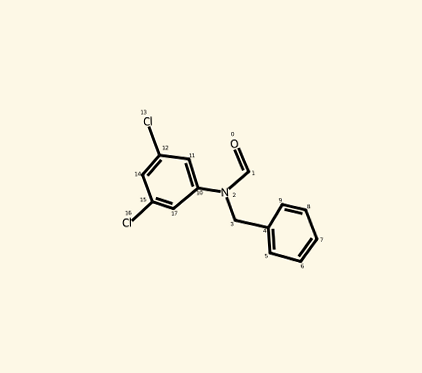 O=CN(Cc1ccccc1)c1cc(Cl)cc(Cl)c1